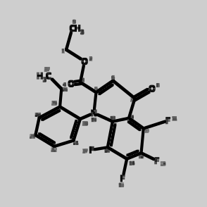 CCOC(=O)c1cc(=O)c2c(F)c(F)c(F)c(F)c2n1-c1ccccc1CC